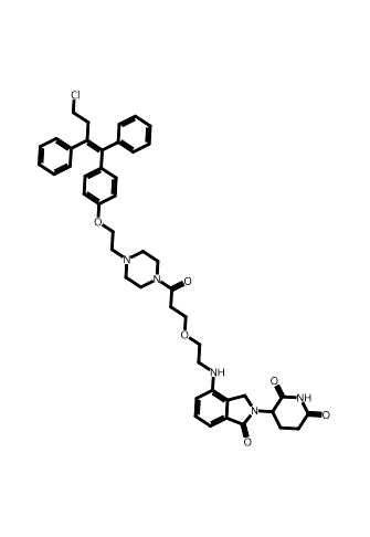 O=C1CCC(N2Cc3c(NCCOCCC(=O)N4CCN(CCOc5ccc(C(=C(CCCl)c6ccccc6)c6ccccc6)cc5)CC4)cccc3C2=O)C(=O)N1